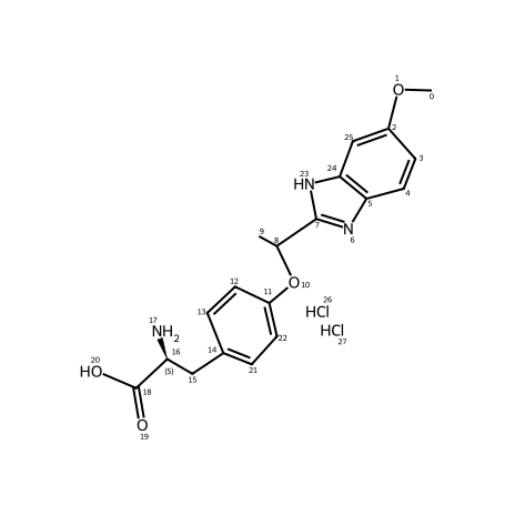 COc1ccc2nc(C(C)Oc3ccc(C[C@H](N)C(=O)O)cc3)[nH]c2c1.Cl.Cl